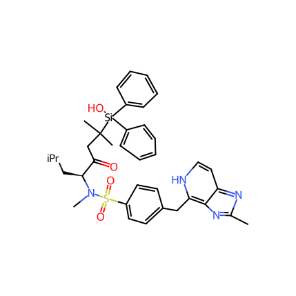 Cc1nc2cc[nH]c(Cc3ccc(S(=O)(=O)N(C)[C@@H](CC(C)C)C(=O)CC(C)(C)[Si](O)(c4ccccc4)c4ccccc4)cc3)c-2n1